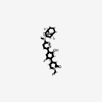 CN(c1ccc(-c2cc(F)c(-c3ccn(CF)c(=O)c3)cc2O)nn1)[C@H]1C[C@]2(C)CCC[C@](C)(C1)N2O